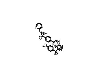 COc1ccc(C2(c3nnc4ncc(-c5ccc(C(=O)NCc6ccccn6)cc5)nn34)CC2)cc1